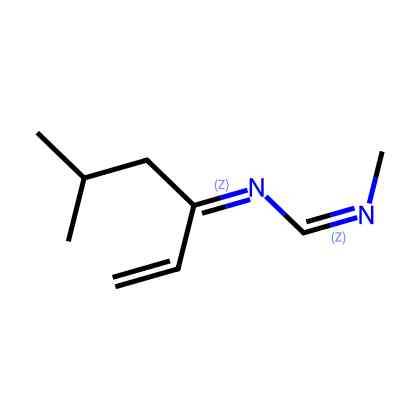 C=C/C(CC(C)C)=N\C=N/C